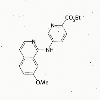 CCOC(=O)c1ccc(Nc2nccc3ccc(OC)cc23)cn1